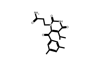 Cc1cc(C)cc(C(=O)c2c(C(C)C)c(=O)[nH]c(=O)n2CCC(N)=O)c1